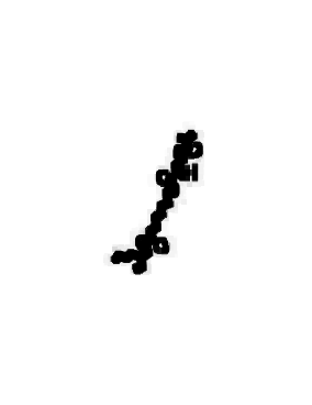 C=C(C)C(=O)OCCNC(=O)OCCCCCCCC(=O)OCC(CC)CCCC